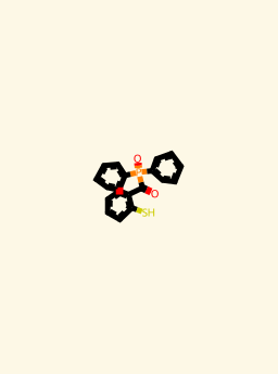 O=C(c1ccccc1S)P(=O)(c1ccccc1)c1ccccc1